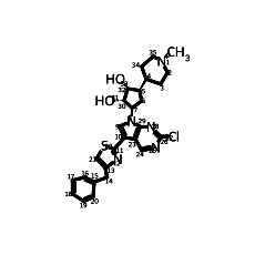 CN1CCC([C@H]2C[C@@H](n3cc(-c4nc(Cc5ccccc5)cs4)c4cnc(Cl)nc43)[C@H](O)[C@@H]2O)CC1